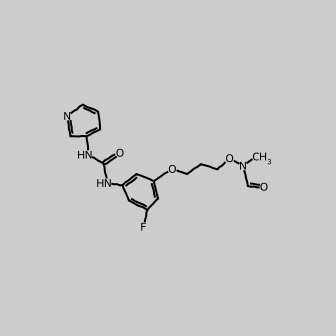 CN(C=O)OCCCOc1cc(F)cc(NC(=O)Nc2cccnc2)c1